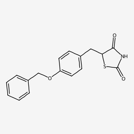 O=C1NC(=O)C(Cc2ccc(OCc3ccccc3)cc2)S1